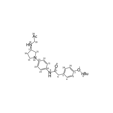 CCCCOc1ccc(CC(=O)Nc2ccc(N3CC[C@@H](NCC(C)=O)C3)cc2)cc1